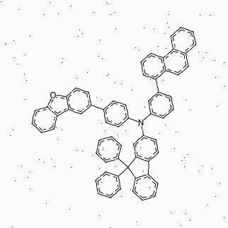 c1ccc(C2(c3ccccc3)c3ccccc3-c3ccc(N(c4ccc(-c5ccc6oc7ccccc7c6c5)cc4)c4cccc(-c5cccc6c5ccc5ccccc56)c4)cc32)cc1